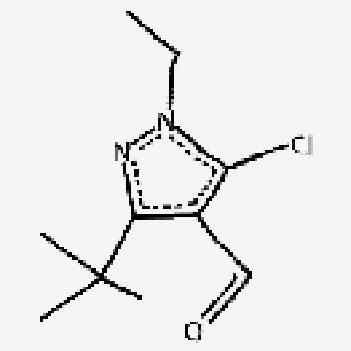 CCn1nc(C(C)(C)C)c(C=O)c1Cl